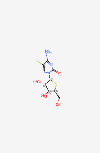 Nc1nc(=O)n([C@H]2S[C@@H](CO)[C@@H](O)[C@@H]2O)cc1F